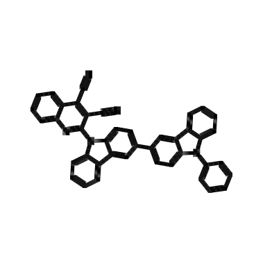 N#Cc1c(-n2c3ccccc3c3cc(-c4ccc5c(c4)c4ccccc4n5-c4ccccc4)ccc32)nc2ccccc2c1C#N